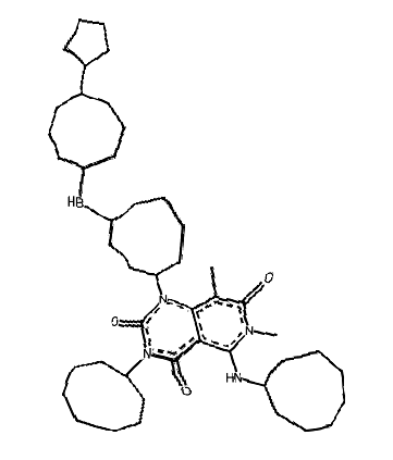 Cc1c(=O)n(C)c(NC2CCCCCCC2)c2c(=O)n(C3CCCCCCC3)c(=O)n(C3CCCCC(BC4CCCC(C5CCCC5)CCC4)CC3)c12